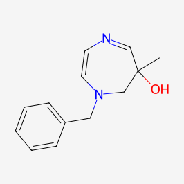 CC1(O)C=NC=CN(Cc2ccccc2)C1